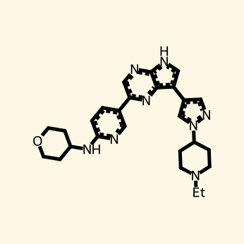 CCN1CCC(n2cc(-c3c[nH]c4ncc(-c5ccc(NC6CCOCC6)nc5)nc34)cn2)CC1